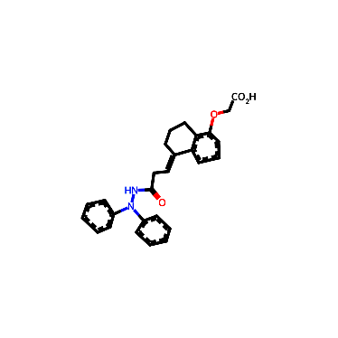 O=C(O)COc1cccc2c1CCCC2=CCC(=O)NN(c1ccccc1)c1ccccc1